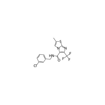 Cc1cn2c(C(=O)NCc3cccc(Cl)c3)c(C(F)(F)F)nc2s1